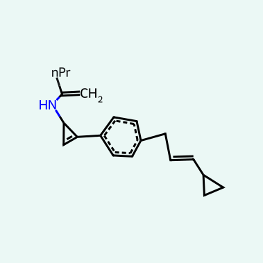 C=C(CCC)NC1C=C1c1ccc(C/C=C/C2CC2)cc1